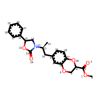 COC(=O)C1COc2cc(C[C@H](C)N3CC(c4ccccc4)OC3=O)ccc2O1